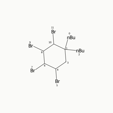 CCCCC1(CCCC)CC(Br)C(Br)C(Br)C1Br